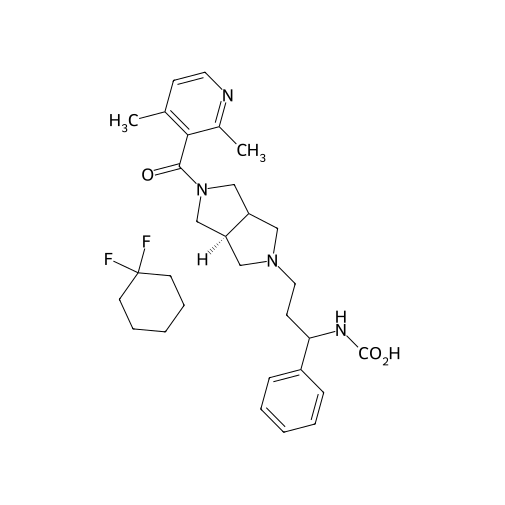 Cc1ccnc(C)c1C(=O)N1CC2CN(CCC(NC(=O)O)c3ccccc3)C[C@H]2C1.FC1(F)CCCCC1